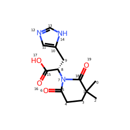 CC1(C)CCC(=O)N([C@@H](Cc2cnc[nH]2)C(=O)O)C1=O